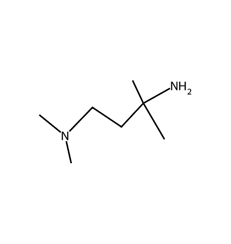 CN(C)CCC(C)(C)N